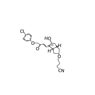 N#CCCCOC1C[C@H]2C[C@H](O)[C@@H](C=CC(=O)COc3ccc(Cl)cc3)[C@@H]2C1